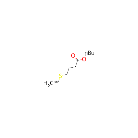 C=CSCCCC(=O)OCCCC